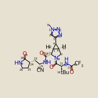 Cn1cc(C2[C@H]3[C@@H]2CN(C(=O)[C@@H](NC(=O)C(F)(F)F)C(C)(C)C)[C@@H]3C(=O)N[C@H](C#N)C[C@@H]2CCNC2=O)nn1